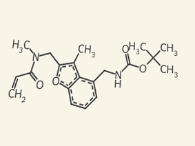 C=CC(=O)N(C)Cc1oc2cccc(CNC(=O)OC(C)(C)C)c2c1C